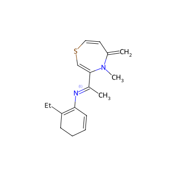 C=C1C=CSC=C(/C(C)=N/C2=C(CC)CCC=C2)N1C